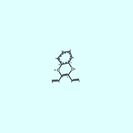 C=CC1=C(C=C)Oc2ccccc2O1